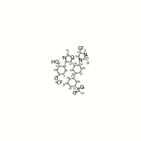 Cc1nc(-c2ccc(OC(F)(F)F)cc2O)c(-c2cc(-c3cccc(S(C)(=O)=O)c3)ccc2-n2cc(C(F)(F)F)nc2C)o1